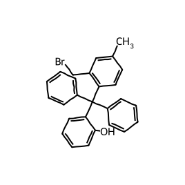 Cc1ccc(C(c2ccccc2)(c2ccccc2)c2ccccc2O)c(CBr)c1